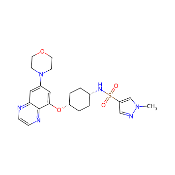 Cn1cc(S(=O)(=O)N[C@H]2CC[C@@H](Oc3cc(N4CCOCC4)cc4nccnc34)CC2)cn1